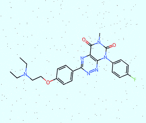 CCN(CC)CCOc1ccc(-c2nnc3c(n2)c(=O)n(C)c(=O)n3-c2ccc(F)cc2)cc1